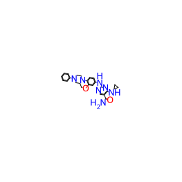 NC(=O)c1cnc(Nc2ccc3c(c2)OCC2CN(c4ccccc4)CCN32)nc1NC1CC1